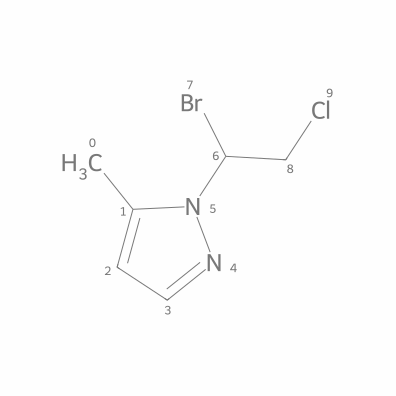 Cc1ccnn1C(Br)CCl